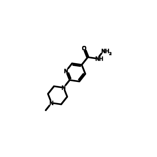 CN1CCN(c2ccc(C(=O)NN)cn2)CC1